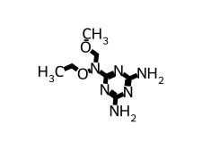 CCON(COC)c1nc(N)nc(N)n1